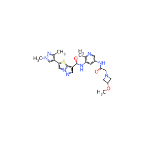 COC1CN(CC(=O)Nc2cnc(C)c(NC(=O)c3cnn4cc(-c5cn(C)nc5C)sc34)c2)C1